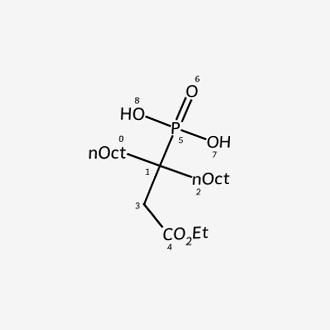 CCCCCCCCC(CCCCCCCC)(CC(=O)OCC)P(=O)(O)O